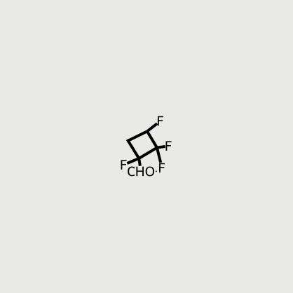 O=[C]C1(F)CC(F)C1(F)F